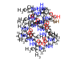 CC[C@H](C)[C@H](NC(=O)[C@@H](NC(=O)[C@H](Cc1ccccc1)NC(=O)[C@@H]1CCCN1C(=O)[C@@H](NC(=O)[C@@H](NC(=O)[C@H](C)NC(=O)[C@H](Cc1ccccc1)NC(=O)[C@H](CC(C)C)NC(=O)[C@H](CC(C)C)NC(=O)[C@H](Cc1c[nH]c2ccccc12)NC(=O)[C@@H](N)CC(C)C)C(C)C)C(C)C)C(C)C)C(=O)N[C@@H](CC(C)C)C(=O)N[C@@H](CCCCN)C(=O)N[C@@H](CS)C(=O)O